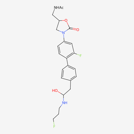 CC(=O)NCC1CN(c2ccc(-c3ccc(CC(O)NCCCF)cc3)c(F)c2)C(=O)O1